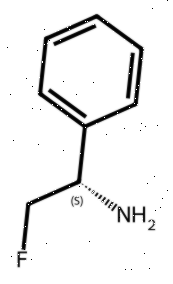 N[C@H](CF)c1ccccc1